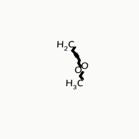 C=CCC#CCCC(=O)OCCCC